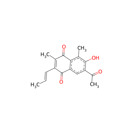 C/C=C/C1=C(C)C(=O)c2c(cc(C(C)=O)c(O)c2C)C1=O